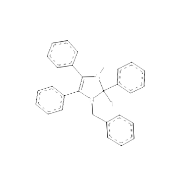 CCN1C(c2ccccc2)=C(c2ccccc2)N(Cc2ccccc2)C1(I)c1ccccc1